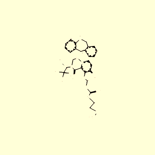 COCCNC(=O)OCOc1c2n(ccc1=O)N([C@H]1c3ccccc3CSc3ccccc31)CN([C@H](C)C(F)(F)F)C2=O